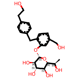 C[C@@H](O)[C@H]1O[C@@H](Oc2cc(CO)ccc2Cc2ccc(CCO)cc2)[C@H](O)[C@@H](O)[C@@H]1O